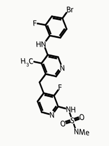 CNS(=O)(=O)Nc1nccc(Cc2cncc(Nc3ccc(Br)cc3F)c2C)c1F